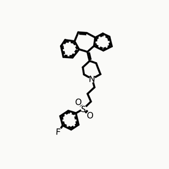 O=S(=O)(CCCN1CCC(=C2c3ccccc3C=Cc3ccccc32)CC1)c1ccc(F)cc1